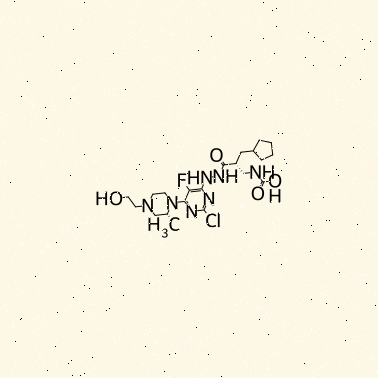 C[C@@H]1CN(CCO)CCN1c1nc(Cl)nc(NNC(=O)[C@@H](CNC(=O)O)CC2CCCC2)c1F